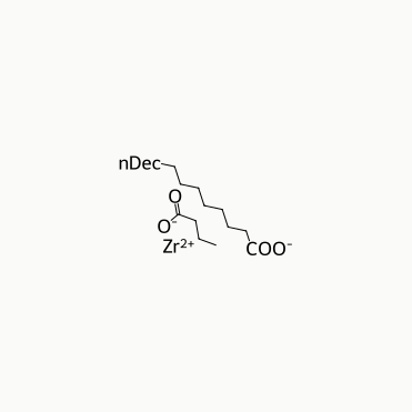 CCCC(=O)[O-].CCCCCCCCCCCCCCCCCC(=O)[O-].[Zr+2]